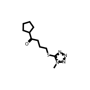 Cn1nnnc1SCCCC(=O)C1CCCC1